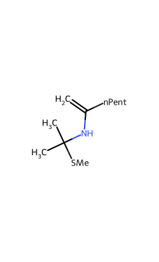 C=C(CCCCC)NC(C)(C)SC